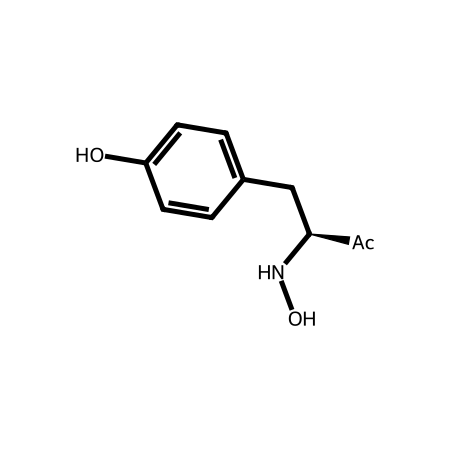 CC(=O)[C@H](Cc1ccc(O)cc1)NO